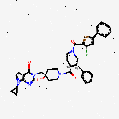 O=C(c1sc(-c2ccccc2)cc1F)N1CC[C@@H](C(=O)N2CCC(O)(Cn3cnc4c(ccn4C4CC4)c3=O)CC2)[C@H](c2ccccc2)C1